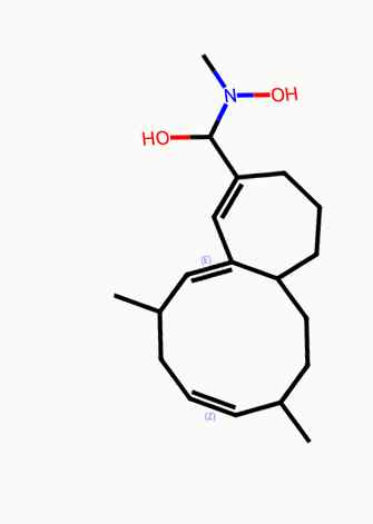 CC1/C=C\CC(C)/C=C2/C=C(C(O)N(C)O)CCCC2CC1